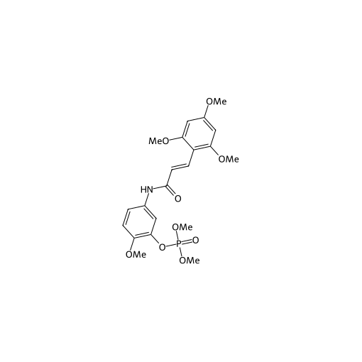 COc1cc(OC)c(C=CC(=O)Nc2ccc(OC)c(OP(=O)(OC)OC)c2)c(OC)c1